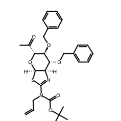 C=CCN(C(=O)OC(C)(C)C)C1=N[C@@H]2[C@@H](OCc3ccccc3)[C@H](OCc3ccccc3)[C@@H](C(C)=O)O[C@@H]2S1